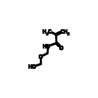 C=C(C)C(=O)NCOCO